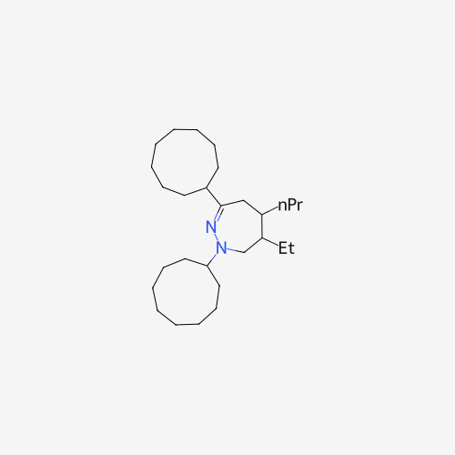 CCCC1CC(C2CCCCCCCC2)=NN(C2CCCCCCCC2)CC1CC